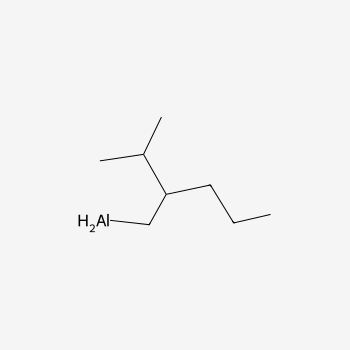 CCCC([CH2][AlH2])C(C)C